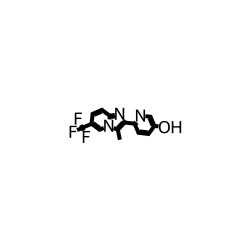 Cc1c(-c2ccc(O)cn2)nc2ccc(C(F)(F)F)cn12